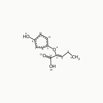 CC/C=C(\Oc1ccc(O)cc1)C(=O)O